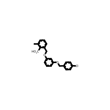 Cc1cccc(COc2cccc(OCc3ccc(Cl)cc3)c2)c1C(=O)O